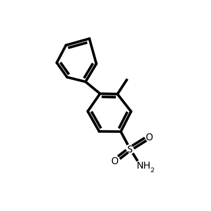 Cc1cc(S(N)(=O)=O)ccc1-c1ccccc1